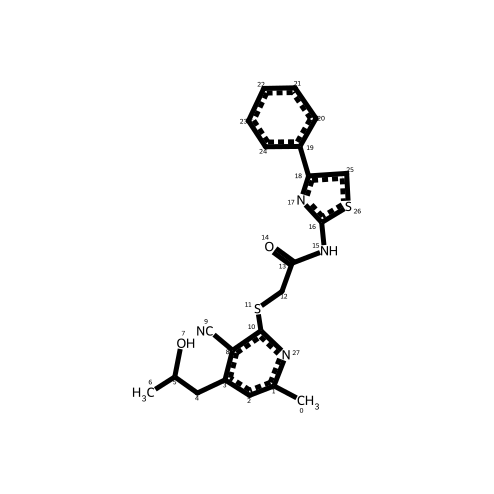 Cc1cc(CC(C)O)c(C#N)c(SCC(=O)Nc2nc(-c3ccccc3)cs2)n1